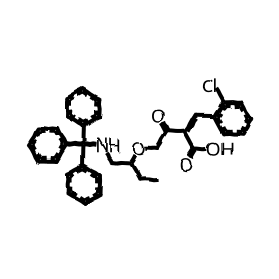 CCC(CNC(c1ccccc1)(c1ccccc1)c1ccccc1)OCC(=O)C(=Cc1ccccc1Cl)C(=O)O